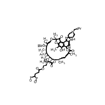 CO[C@H]1/C(C)=C/O[C@@]2(C)Oc3c(C)c(O)c4c(c3C2=O)C2=NC3(CCN(CC(C)C)CC3)NC2=C(NC(=O)/C(C)=C\C=C\[C@H](C)[C@H](OC(=O)CN(C)CCOC(=O)CCC(P=O)P=O)[C@@H](C)[C@@H](O)[C@@H](C)[C@H](OC(C)=O)[C@@H]1C)C4=O